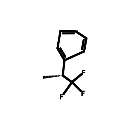 C[C@H](c1cc[c]cc1)C(F)(F)F